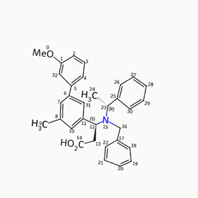 COc1cccc(-c2cc(C)cc([C@H](CC(=O)O)N(Cc3ccccc3)[C@H](C)c3ccccc3)c2)c1